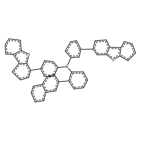 c1cc(-c2ccc3c(c2)sc2ccccc23)cc(N(c2ccc(-c3cccc4c3sc3ccccc34)cc2)c2ccccc2-c2ccc3ccccc3c2)c1